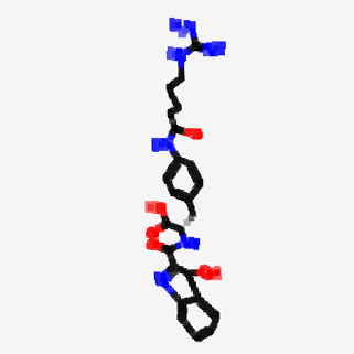 N=C(N)NCCCCC(=O)Nc1ccc(C[C@H](NC(=O)C2=Nc3ccccc3C2O)C(=O)O)cc1